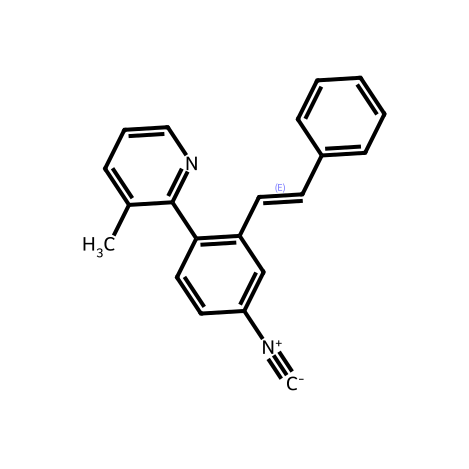 [C-]#[N+]c1ccc(-c2ncccc2C)c(/C=C/c2ccccc2)c1